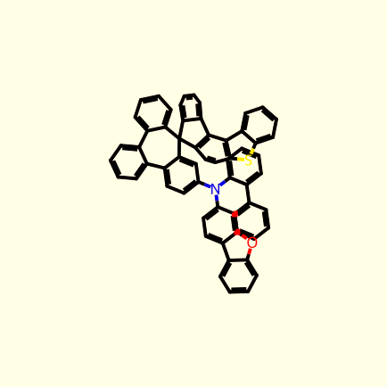 c1ccc(-c2ccccc2N(c2ccc3c(c2)C2(c4ccccc4-c4ccccc4-3)c3ccccc3-c3c2ccc2sc4ccccc4c32)c2ccc3c(c2)oc2ccccc23)cc1